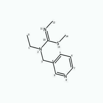 CCN(Cc1cccnc1)C(=NC)SC